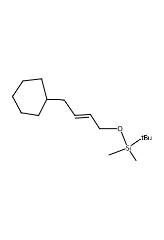 CC(C)(C)[Si](C)(C)OCC=CCC1CCCCC1